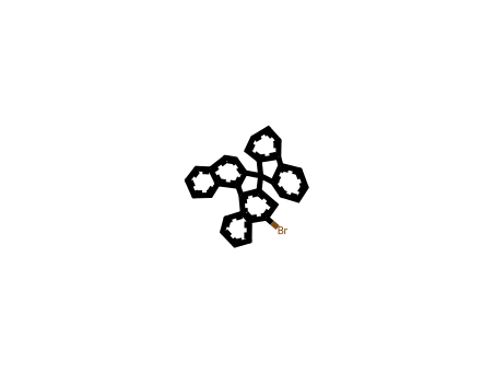 Brc1cc2c(c3ccccc13)-c1c(ccc3ccccc13)C21c2ccccc2-c2ccccc21